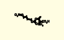 CC(OC(=O)OCCCCO[N+](=O)[O-])C(N)C(=O)O